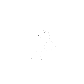 O=S(=O)(O)c1cnc2sc(Br)nn12